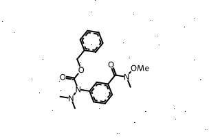 CON(C)C(=O)c1cccc(N(C(=O)OCc2ccccc2)N(C)C)c1